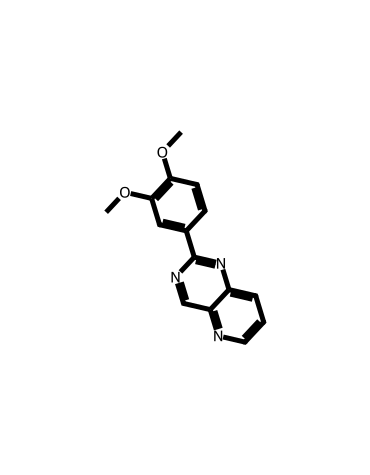 COc1ccc(-c2ncc3ncccc3n2)cc1OC